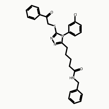 O=C(CCCCc1nnc(SCC(=O)c2ccccc2)n1-c1cccc(Cl)c1)NCc1ccccc1